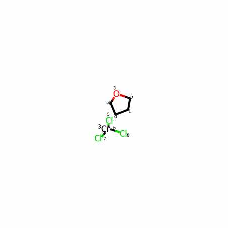 C1CCOC1.[Cl][3Cr]([Cl])[Cl]